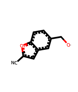 N#Cc1cc2cc(C[O])ccc2o1